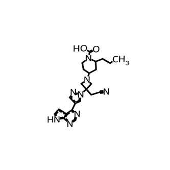 CCCC1CC(N2CC(CC#N)(n3cc(-c4ncnc5[nH]ccc45)cn3)C2)CCN1C(=O)O